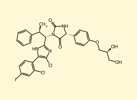 C[C@H](c1ccccc1)[C@@H](c1nc(Cl)c(-c2ccc(I)cc2Cl)[nH]1)N1C(=O)N[C@H](c2ccc(OC[C@@H](O)CO)cc2)C1=O